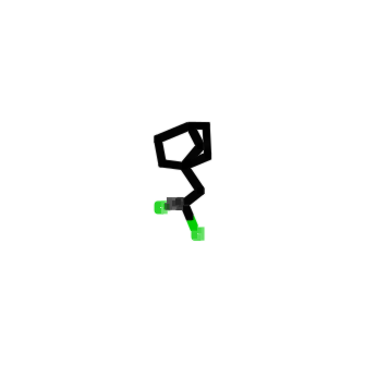 Cl[SiH](Cl)CC12CCC(CC1)C2